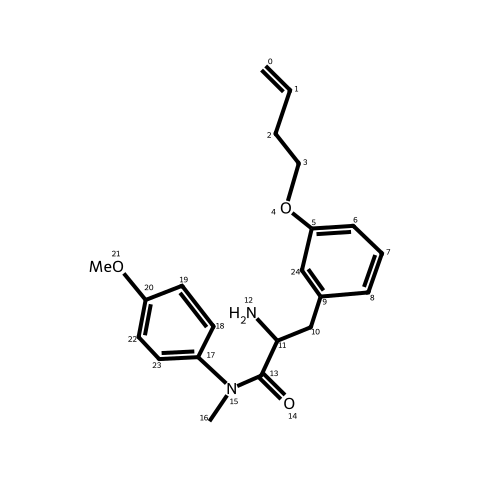 C=CCCOc1cccc(CC(N)C(=O)N(C)c2ccc(OC)cc2)c1